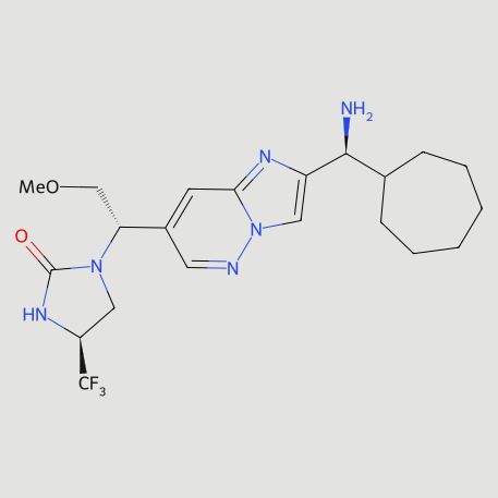 COC[C@H](c1cnn2cc([C@@H](N)C3CCCCCC3)nc2c1)N1C[C@@H](C(F)(F)F)NC1=O